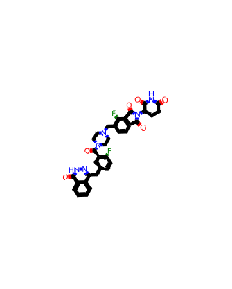 O=C1CCC(N2C(=O)c3ccc(CN4CCN(C(=O)c5cc(Cc6n[nH]c(=O)c7ccccc67)ccc5F)CC4)c(F)c3C2=O)C(=O)N1